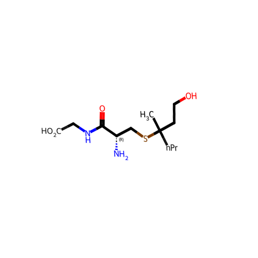 CCCC(C)(CCO)SC[C@H](N)C(=O)NCC(=O)O